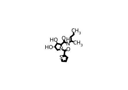 CCCC(C)NC(=O)C1[C@H](O)[C@@H](O)CN1C(=O)c1cccs1